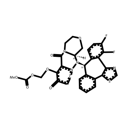 COC(=O)OCOc1c2n(ccc1=O)N([C@@H]1c3ccccc3-c3scnc3-c3c1ccc(F)c3F)[C@@H]1COCCN1C2=O